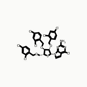 Nc1nc(Cl)c2ccn([C@@H]3S[C@H](COCc4ccc(Cl)cc4Cl)[C@@H](OCc4ccc(Cl)cc4Cl)[C@@H]3OCc3ccc(Cl)cc3Cl)c2n1